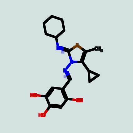 Cc1s/c(=N\C2CCCCC2)n(/N=C/c2cc(O)c(O)cc2O)c1C1CC1